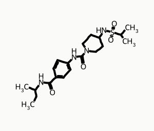 CCC(C)NC(=O)c1ccc(NC(=O)N2CCC(NS(=O)(=O)C(C)C)CC2)cc1